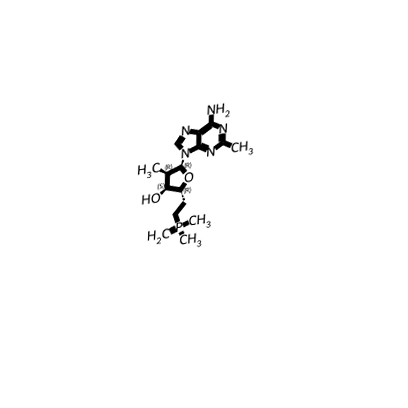 C=P(C)(C)CC[C@H]1O[C@@H](n2cnc3c(N)nc(C)nc32)[C@H](C)[C@@H]1O